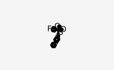 CC(=O)n1c(-c2ccc(F)cc2)c(CCN2CCN(c3ccccc3)CC2)sc1=O